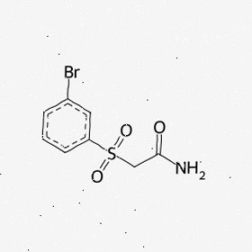 NC(=O)CS(=O)(=O)c1cccc(Br)c1